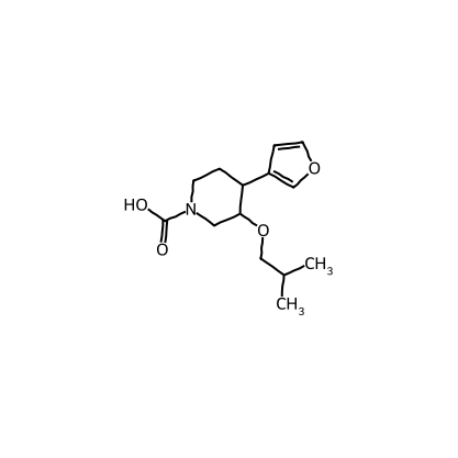 CC(C)COC1CN(C(=O)O)CCC1c1ccoc1